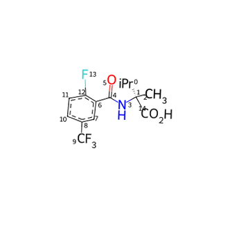 CC(C)[C@@](C)(NC(=O)c1cc(C(F)(F)F)ccc1F)C(=O)O